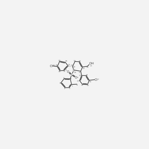 Cc1ccccc1S(=O)(=O)N1C(c2cccc(Cl)c2)C(CO)=CC[C@H]1c1ccc(Cl)cc1